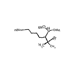 CCCCCCCCCCCCCC([SiH](OC)OC)C(C)(C)C(C)C